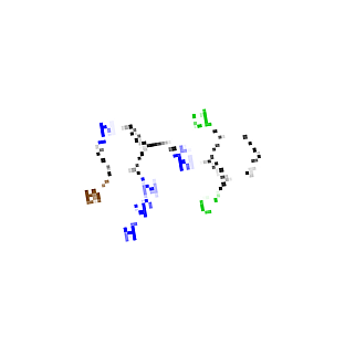 [N-]=[N+]=Nc1c(Br)cncc1/C=N/c1c(Cl)cccc1Cl